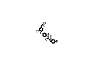 O=C(O)Cc1ccc(Oc2ccc(NC(=O)c3nc4ccc(F)cc4[nH]3)cc2)c(Cl)c1